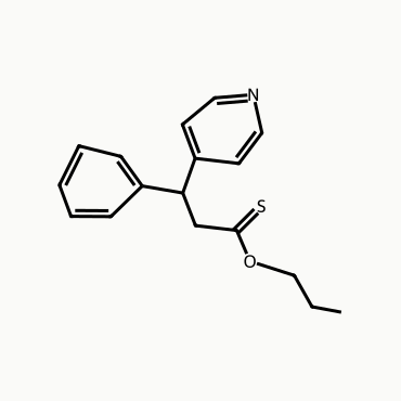 CCCOC(=S)CC(c1ccccc1)c1ccncc1